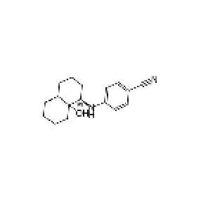 N#Cc1ccc(N[C@@H]2CCCC3CCCCC32O)cc1